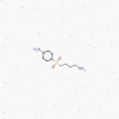 NCCCCS(=O)(=O)c1ccc(N)cc1